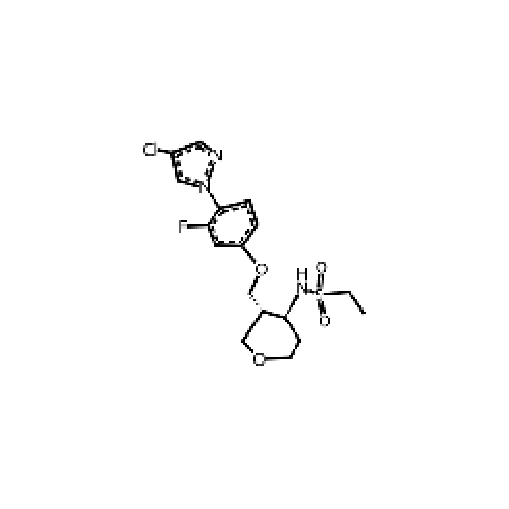 CCS(=O)(=O)N[C@H]1CCOC[C@@H]1COc1ccc(-n2cc(Cl)cn2)c(F)c1